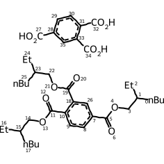 CCCCC(CC)COC(=O)c1ccc(C(=O)OCC(CC)CCCC)c(C(=O)OCC(CC)CCCC)c1.O=C(O)c1ccc(C(=O)O)c(C(=O)O)c1